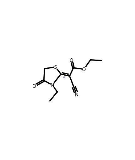 CCOC(=O)/C(C#N)=C1\SCC(=O)N1CC